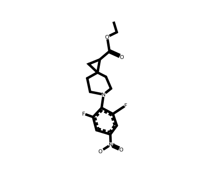 CCOC(=O)C1CC12CCN(c1c(F)cc([N+](=O)[O-])cc1F)CC2